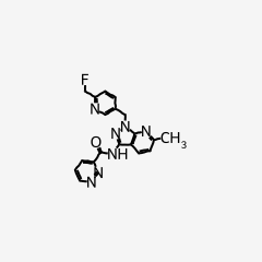 Cc1ccc2c(NC(=O)c3cccnn3)nn(Cc3ccc(CF)nc3)c2n1